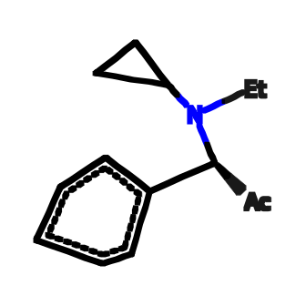 CCN(C1CC1)[C@@H](C(C)=O)c1ccccc1